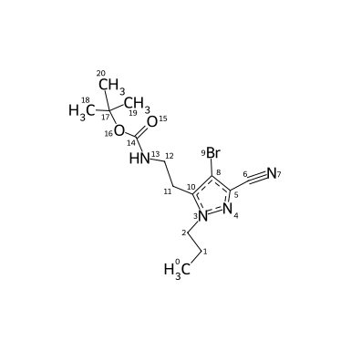 CCCn1nc(C#N)c(Br)c1CCNC(=O)OC(C)(C)C